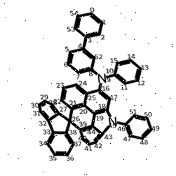 c1ccc(-c2cccc(N(c3ccccc3)c3cc4c5c6c(cccc36)C3(c6ccccc6-c6ccccc63)c3cccc(c35)n4-c3ccccc3)c2)cc1